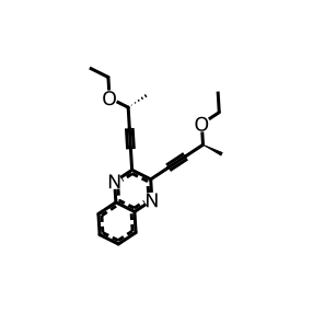 CCO[C@H](C)C#Cc1nc2ccccc2nc1C#C[C@H](C)OCC